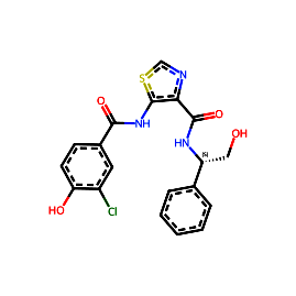 O=C(Nc1scnc1C(=O)N[C@H](CO)c1ccccc1)c1ccc(O)c(Cl)c1